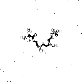 CC(C)C(=O)NCCN(C)CCN(C)CCOS(=O)(=O)O